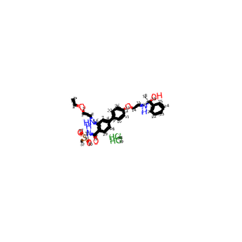 CCOCCNc1cc(-c2ccc(OCCN[C@@](C)(O)c3ccccc3)cc2)ccc1C(=O)NS(C)(=O)=O.Cl.Cl